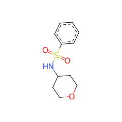 O=S(=O)(NC1CCOCC1)c1ccccc1